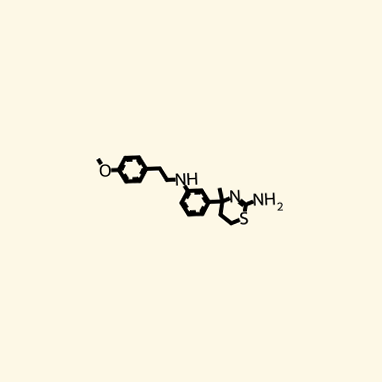 COc1ccc(CCNc2cccc(C3(C)CCSC(N)=N3)c2)cc1